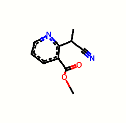 COC(=O)c1cccnc1C(C)C#N